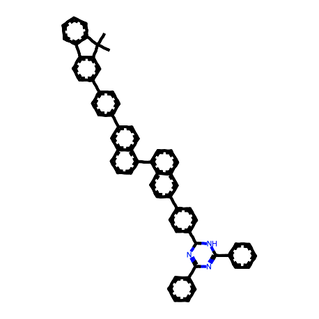 CC1(C)c2ccccc2-c2ccc(-c3ccc(-c4ccc5c(-c6cccc7cc(-c8ccc(C9N=C(c%10ccccc%10)N=C(c%10ccccc%10)N9)cc8)ccc67)cccc5c4)cc3)cc21